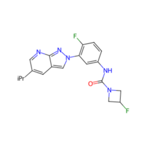 CC(C)c1cnc2nn(-c3cc(NC(=O)N4CC(F)C4)ccc3F)cc2c1